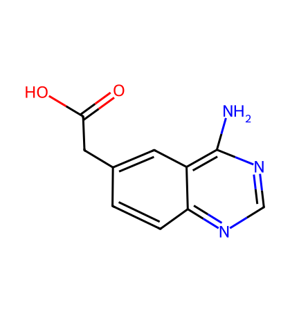 Nc1ncnc2ccc(CC(=O)O)cc12